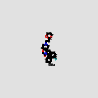 CC(C)COc1ccc(C[N+]2([O-])COC3(CCN(CCC4OCCCO4)CC3)C2Cc2ccc(F)cc2)cc1